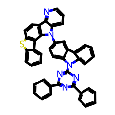 c1ccc(-c2nc(-c3ccccc3)nc(-n3c4ccccc4c4cc(-n5c6cccnc6c6ccc7sc8ccccc8c7c65)ccc43)n2)cc1